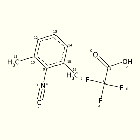 O=C(O)C(F)(F)F.[C-]#[N+]c1c(C)cccc1C